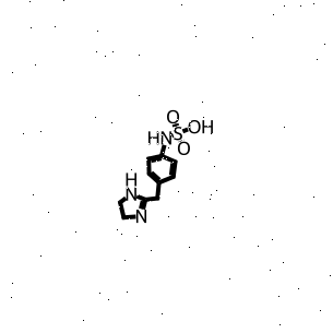 O=S(=O)(O)Nc1ccc(CC2=NCCN2)cc1